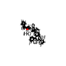 Cc1c(F)cccc1C1N=C(c2nccs2)NC(CN2CCN3C(=O)N(C45CC(C(=O)N6CCCC6)(C4)C5)CC3C2)=C1C(=O)O